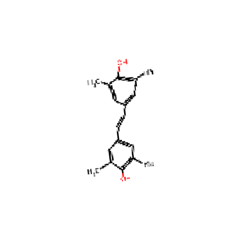 CCCc1cc(/C=C/c2cc(C)c(O)c(C(C)(C)C)c2)cc(C)c1O